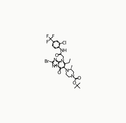 CCc1c(N2CCN(C(=O)OC(C)(C)C)C[C@@H]2C)c(=O)n2nc(Br)nc2n1CC(=O)Nc1ccc(C(F)(F)F)cc1Cl